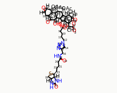 CC(=O)O[C@H]1[C@H]2[C@H]([C@@H]3[C@@H](OC(=O)CCCCn4cc(CNC(=O)CCCC[C@@H]5SC[C@@H]6NC(=O)N[C@@H]65)nn4)[C@@H]4[C@H]([C@H](C)[C@H]5O[C@]56OC(=O)[C@@](C)(O)[C@]46C)[C@@]3(C)[C@H]1OC(C)=O)[C@@H](O)C(=O)[C@H]1C[C@@H]3O[C@@H]3[C@H](OC(C)=O)[C@]21C